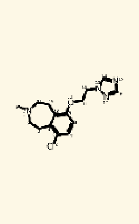 CN1CCc2c(Cl)ccc(OCCn3cncn3)c2CC1